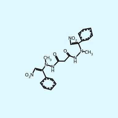 CN(NC(=O)CC(=O)NN(C)/C(=C/[N+](=O)[O-])c1ccccc1)/C(=C/[N+](=O)[O-])c1ccccc1